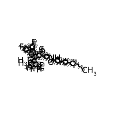 CCCCCC1CCC(c2ccc(-c3ccc(C(=O)Nc4ccc(-c5cc6c7c(c8c(c6cc5OC)OC(c5ccc(F)cc5)(c5ccc(F)cc5)C=C8)C(C)(C)c5c-7cc(C(F)(F)F)cc5C(F)(F)F)cc4)cc3)cc2)CC1